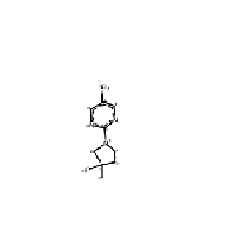 CC1(F)CCN(c2ncc(C(C)(C)C)cn2)C1